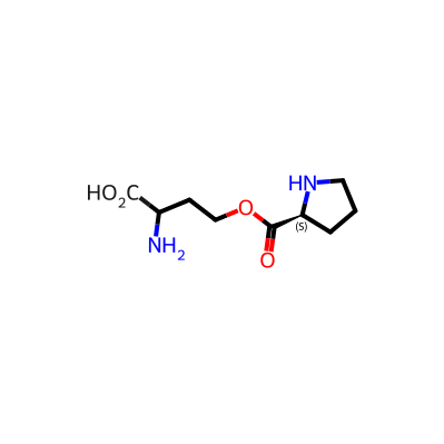 NC(CCOC(=O)[C@@H]1CCCN1)C(=O)O